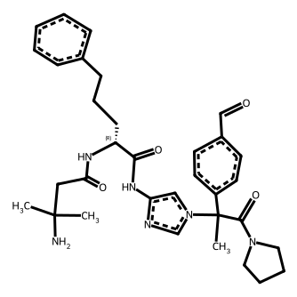 CC(C)(N)CC(=O)N[C@H](CCCc1ccccc1)C(=O)Nc1cn(C(C)(C(=O)N2CCCC2)c2ccc(C=O)cc2)cn1